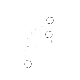 OC(CSCc1ccccc1)CN1CCN(CCCC(c2ccc(F)cc2)c2ccc(F)cc2)CC1